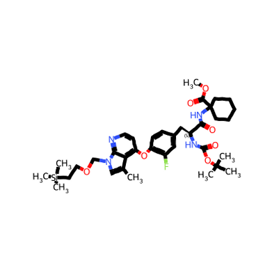 COC(=O)C1(NC(=O)[C@H](Cc2ccc(Oc3ccnc4c3c(C)cn4COCC[Si](C)(C)C)c(F)c2)NC(=O)OC(C)(C)C)CCCCC1